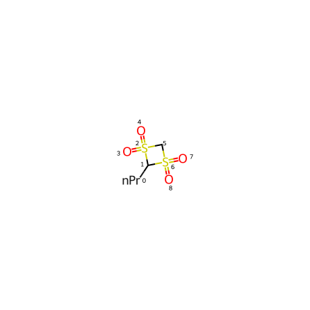 CCCC1S(=O)(=O)CS1(=O)=O